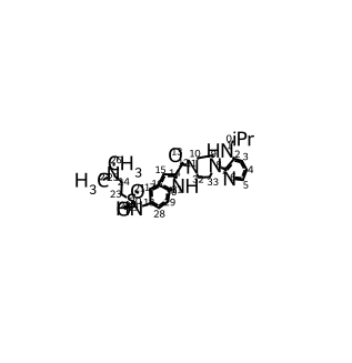 CC(C)Nc1cccnc1N1CCN(C(=O)c2cc3cc(NS(=O)(=O)CCN(C)C)ccc3[nH]2)CC1